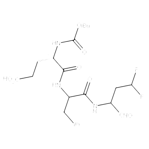 CC(C)COC(=O)N[C@@H](CCC(=O)O)C(=O)NC(CC(C)C)C(=O)NC(C=O)CC(F)F